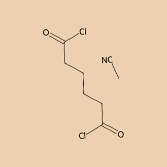 CC#N.O=C(Cl)CCCCC(=O)Cl